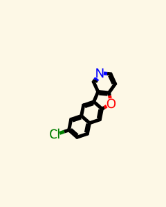 Clc1ccc2cc3oc4ccncc4c3cc2c1